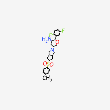 Cc1ccc(S(=O)(=O)C2CC3CN([C@H]4CO[C@H](c5cc(F)ccc5F)[C@@H](N)C4)CC3C2)cc1